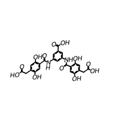 O=C(O)Cc1cc(O)c(C(=O)Nc2cc(NC(=O)c3cc(O)c(CC(=O)O)cc3O)cc(C(=O)O)c2)cc1O